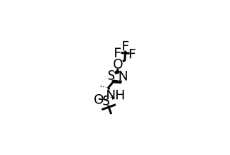 C[C@@H](N[S@+]([O-])C(C)(C)C)c1cnc(OCC(F)(F)F)s1